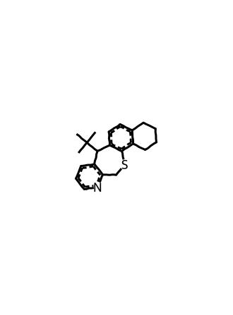 CC(C)(C)C1c2cccnc2CSc2c1ccc1c2CCCC1